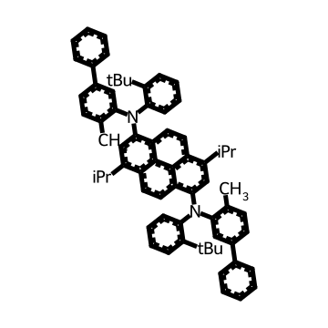 Cc1ccc(-c2ccccc2)cc1N(c1ccccc1C(C)(C)C)c1cc(C(C)C)c2ccc3c(N(c4cc(-c5ccccc5)ccc4C)c4ccccc4C(C)(C)C)cc(C(C)C)c4ccc1c2c43